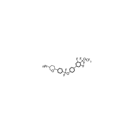 CCCC1CCC(c2ccc(C(F)(F)Oc3ccc(-c4cc(F)c(C(F)(F)OC(F)(F)F)c(F)c4)cc3)cc2)OC1